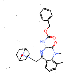 Cc1cccc2c1N(C)C(=O)[C@@H](NC(=O)OCc1ccccc1)N=C2CN1CC2CCC(CC2)C1